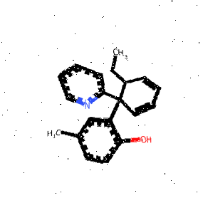 CCC1C=CC=CC1(c1ccccn1)c1cc(C)ccc1O